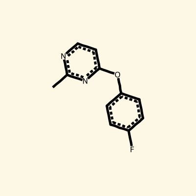 Cc1nccc(Oc2ccc(F)cc2)n1